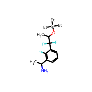 CC[Si](CC)(CC)OC(C)C(F)(F)c1cccc(C(C)N)c1F